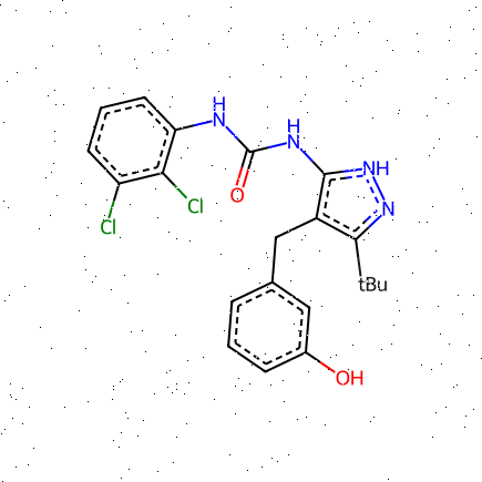 CC(C)(C)c1n[nH]c(NC(=O)Nc2cccc(Cl)c2Cl)c1Cc1cccc(O)c1